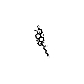 CN1C(=O)C=C[C@@]2(C)C1CC[C@@H]1[C@H]2CC[C@]2(C)C(NCCCCCl)CC[C@@H]12